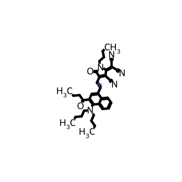 CCCCN1C(=O)C(/C=C/c2cc(C(=O)CCC)c(N(CCCC)CCCC)c3ccccc23)=C(C#N)C1=C(C#N)C#N